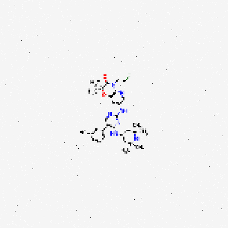 CC1(C)CC(Nc2nc(Nc3cnc4c(c3)OC(C)(C)C(=O)N4CCF)ncc2-c2cccc(C#N)c2)CC(C)(C)N1